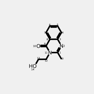 Cc1nc2ccccc2c(=O)n1CCO